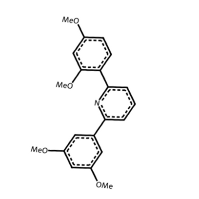 COc1cc(OC)cc(-c2cccc(-c3ccc(OC)cc3OC)n2)c1